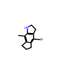 Cc1c2c(c(C(C)C)c3c1NCC3)CCC2